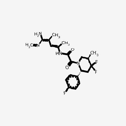 C=N/C(N)=C(C)\C=C(/C)NC(=O)C(=O)N1C[C@@H](C)C(F)(F)C[C@@H]1c1ccc(F)cc1